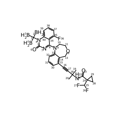 BC(B)(B)n1c(=O)nc(N2CCOCc3c(C#CC(C)(C)NC(=O)C4(C(F)F)CC4)cccc32)c2c(F)cccc21